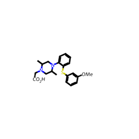 COc1cccc(Sc2ccccc2N2CC(C)N(CC(=O)O)CC2C)c1